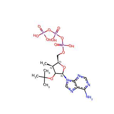 C[C@@H]1C(OC(C)(C)C)[C@H](n2cnc3c(N)ncnc32)O[C@@H]1COP(=O)(O)OP(=O)(O)OP(=O)(O)O